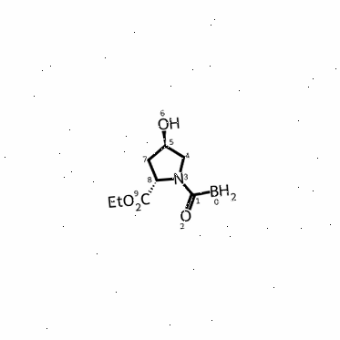 BC(=O)N1C[C@H](O)C[C@H]1C(=O)OCC